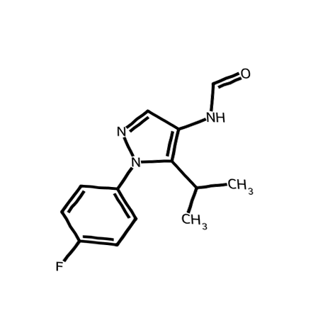 CC(C)c1c(NC=O)cnn1-c1ccc(F)cc1